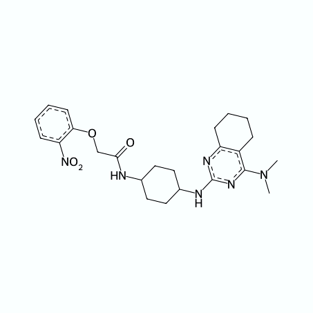 CN(C)c1nc(NC2CCC(NC(=O)COc3ccccc3[N+](=O)[O-])CC2)nc2c1CCCC2